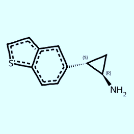 N[C@@H]1C[C@H]1c1ccc2sccc2c1